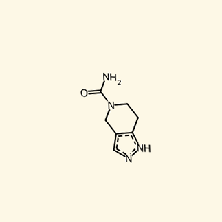 NC(=O)N1CCc2[nH]ncc2C1